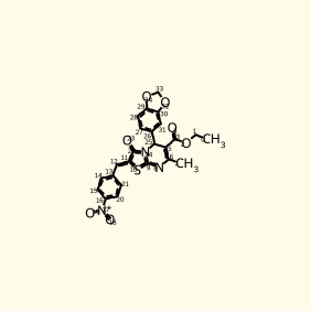 CCOC(=O)C1=C(C)N=c2sc(=Cc3ccc([N+](=O)[O-])cc3)c(=O)n2C1c1ccc2c(c1)OCO2